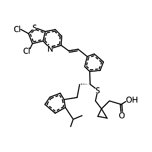 CC(C)c1ccccc1CC[C@@H](SCC1(CC(=O)O)CC1)c1cccc(/C=C/c2ccc3sc(Cl)c(Cl)c3n2)c1